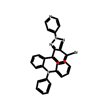 Brc1ccc(-c2ccccc2N(c2ccccc2)c2ccccc2)c2nn(-c3ccncc3)nc12